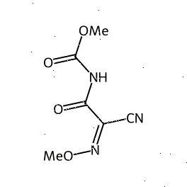 [CH2]OC(=O)NC(=O)/C(C#N)=N\OC